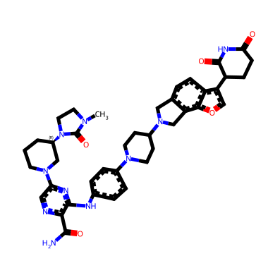 CN1CCN([C@@H]2CCCN(c3cnc(C(N)=O)c(Nc4ccc(N5CCC(N6Cc7ccc8c(C9CCC(=O)NC9=O)coc8c7C6)CC5)cc4)n3)C2)C1=O